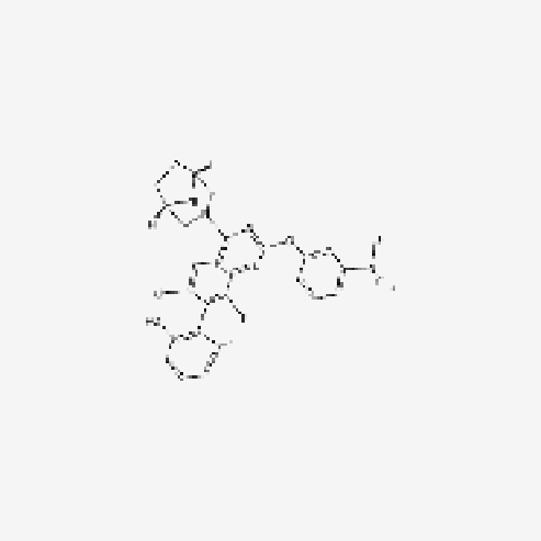 CN(C)c1cccc(Oc2nc(N3C[C@H]4CC[C@@H](C3)N4)c3cc(Cl)c(-c4c(O)cccc4F)c(F)c3n2)c1